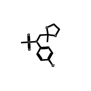 CC1(CN(c2ccc(Cl)cc2)S(C)(=O)=O)OCCO1